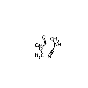 CNC#N.COC=O.[Ca]